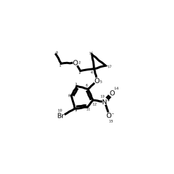 CCOCC1(Oc2ccc(Br)cc2[N+](=O)[O-])CC1